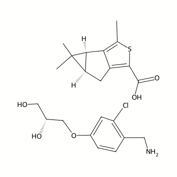 Cc1sc(C(=O)O)c2c1[C@H]1[C@@H](C2)C1(C)C.NCc1ccc(OC[C@H](O)CO)cc1Cl